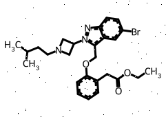 CCOC(=O)Cc1ccccc1OCc1c2cc(Br)ccc2nn1C1CN(CCC(C)C)C1